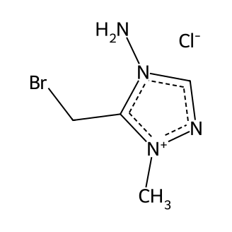 C[n+]1ncn(N)c1CBr.[Cl-]